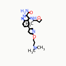 C[C@H](Nc1c(C(N)=O)nnc2ccc(-c3ccc(OCCCN(C)C)nc3)cc12)C1CCO1